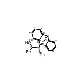 CCC(O)C(N)C12CCC(c3ccccc31)c1ccccc12